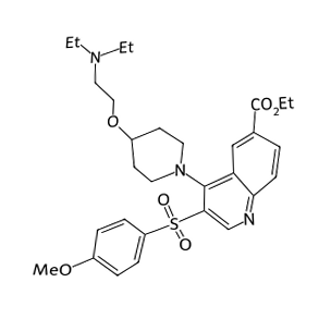 CCOC(=O)c1ccc2ncc(S(=O)(=O)c3ccc(OC)cc3)c(N3CCC(OCCN(CC)CC)CC3)c2c1